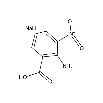 Nc1c(C(=O)O)cccc1[N+](=O)[O-].[NaH]